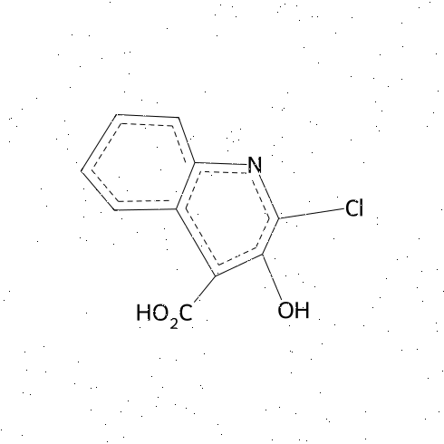 O=C(O)c1c(O)c(Cl)nc2ccccc12